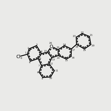 Clc1ccc2c(c1)c1ccccc1c1c3ccc(-c4ccccc4)cc3oc21